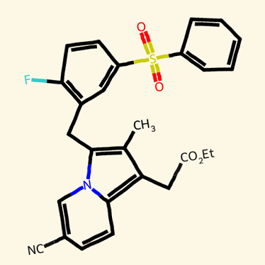 CCOC(=O)Cc1c(C)c(Cc2cc(S(=O)(=O)c3ccccc3)ccc2F)n2cc(C#N)ccc12